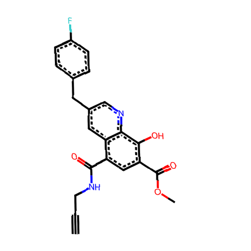 C#CCNC(=O)c1cc(C(=O)OC)c(O)c2ncc(Cc3ccc(F)cc3)cc12